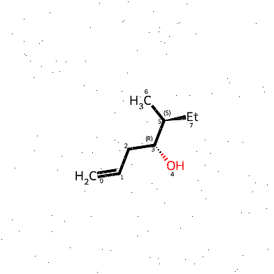 C=CC[C@@H](O)[C@@H](C)CC